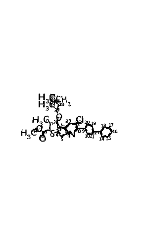 CCC(Sc1cc2nc(-c3ccc(-c4ccccc4)cc3)c(Cl)cc2n1COCC[Si](C)(C)C)C(=O)OC